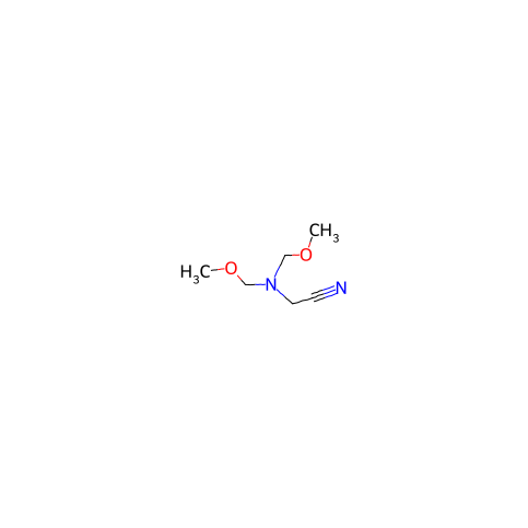 COCN(CC#N)COC